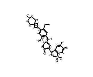 CCc1cc(Nc2ncc(Cl)c(Nc3cc(C)c(C)cc3P(C)(C)=O)n2)c(OC)cc1N1CC2(CCN(C)CC2)C1